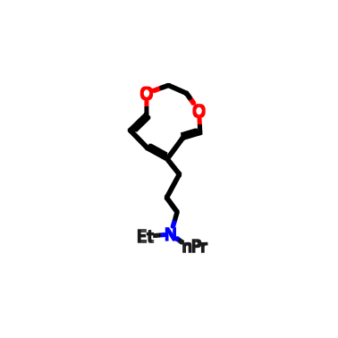 CCCN(CC)CCCC1=C/C=C/OCCO\C=C\1